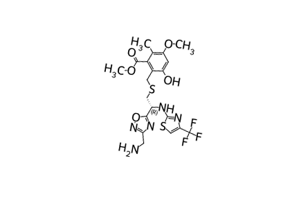 COC(=O)c1c(C)c(OC)cc(O)c1CSC[C@H](Nc1nc(C(F)(F)F)cs1)c1nc(CN)no1